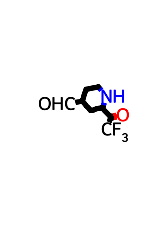 O=CC1CCNC(C(=O)C(F)(F)F)C1